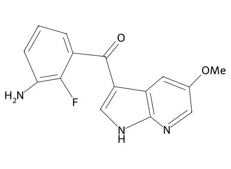 COc1cnc2[nH]cc(C(=O)c3cccc(N)c3F)c2c1